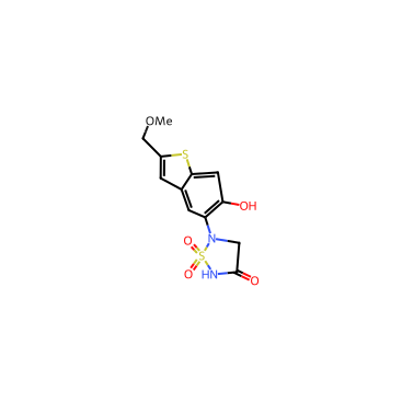 COCc1cc2cc(N3CC(=O)NS3(=O)=O)c(O)cc2s1